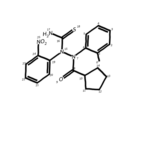 Cc1ccccc1N(C(=O)C1CCCC1)N(C(N)=S)c1ccccc1[N+](=O)[O-]